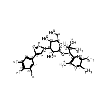 Cc1nc(C)c([C@@H](S[C@@H]2O[C@H](CO)[C@H](O)[C@H](n3cc(-c4cc(F)c(F)c(F)c4)nn3)[C@H]2O)C(C)(C)O)nc1C